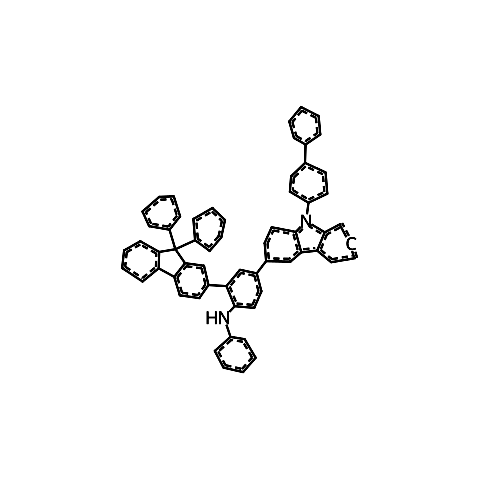 c1ccc(Nc2ccc(-c3ccc4c(c3)c3ccccc3n4-c3ccc(-c4ccccc4)cc3)cc2-c2ccc3c(c2)C(c2ccccc2)(c2ccccc2)c2ccccc2-3)cc1